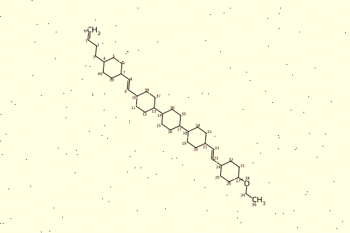 C=CCCC1CCC(/C=C/C2CCC(C3CCC(C4CCC(/C=C/C5CCC(OCC)CC5)CC4)CC3)CC2)CC1